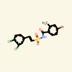 Cc1cc(Br)ccc1C(=O)NS(=O)(=O)C=Cc1ccc(Cl)c(Cl)c1